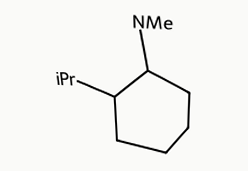 CNC1CCCCC1C(C)C